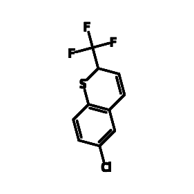 FC(F)(F)C1C=Cc2cc(Cl)ccc2S1